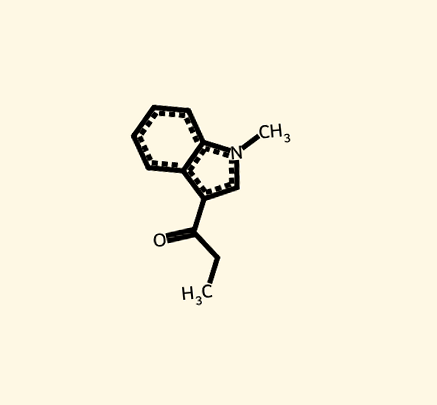 CCC(=O)c1cn(C)c2ccccc12